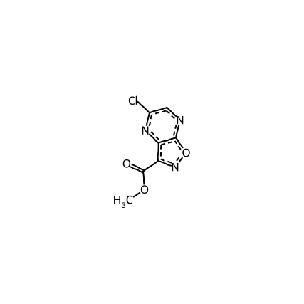 COC(=O)c1noc2ncc(Cl)nc12